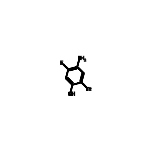 Bc1cc(CC)c(O)cc1F